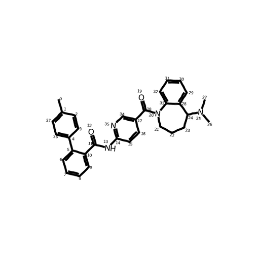 Cc1ccc(-c2ccccc2C(=O)Nc2ccc(C(=O)N3CCCC(N(C)C)c4ccccc43)cn2)cc1